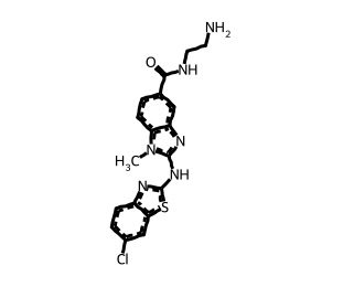 Cn1c(Nc2nc3ccc(Cl)cc3s2)nc2cc(C(=O)NCCN)ccc21